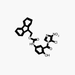 O=C(Nc1ccc(O)c(C(=O)n2cnc([N+](=O)[O-])c2Cl)c1)OCC1c2ccccc2-c2ccccc21